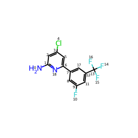 Nc1cc(Cl)cc(-c2cc(F)cc(C(F)(F)F)c2)n1